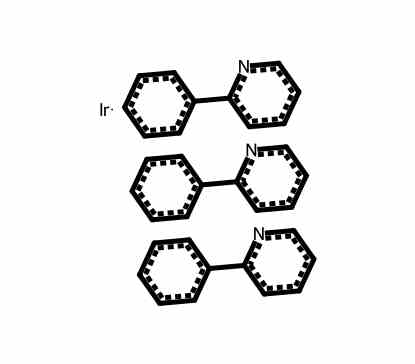 [Ir].c1ccc(-c2ccccn2)cc1.c1ccc(-c2ccccn2)cc1.c1ccc(-c2ccccn2)cc1